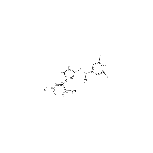 Cc1cc(C)cc(C(O)Cc2cn(-c3cc(Cl)ccc3O)nn2)c1